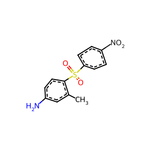 Cc1cc(N)ccc1S(=O)(=O)c1ccc([N+](=O)[O-])cc1